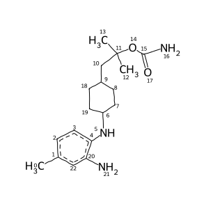 Cc1ccc(NC2CCC(CC(C)(C)OC(N)=O)CC2)c(N)c1